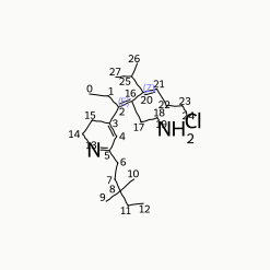 CC/C(C1=CC(CCC(C)(C)CC)=NCC1)=C(CCN)\C(=C/CCCl)C(C)C